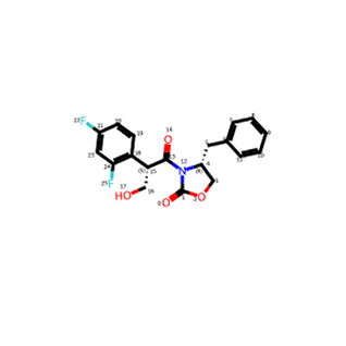 O=C1OC[C@@H](Cc2ccccc2)N1C(=O)[C@H](CO)c1ccc(F)cc1F